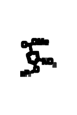 CCCOc1ccc(C(=O)OC)cc1[N+](=O)[O-]